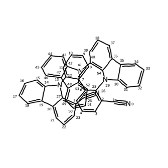 N#Cc1cccc(-c2ccccc2-n2c3ccccc3c3cccc(C#N)c32)c1-n1c2ccccc2c2cccc(-n3c4ccccc4c4ccccc43)c21